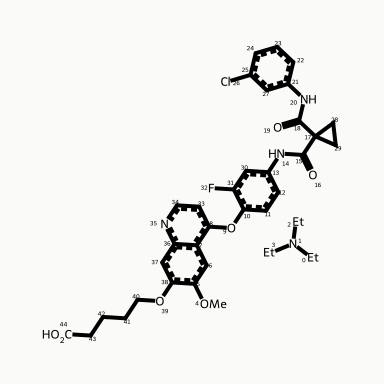 CCN(CC)CC.COc1cc2c(Oc3ccc(NC(=O)C4(C(=O)Nc5cccc(Cl)c5)CC4)cc3F)ccnc2cc1OCCCCC(=O)O